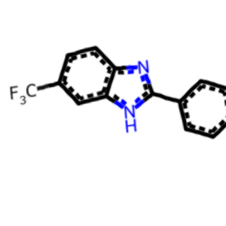 FC(F)(F)c1ccc2nc(-c3ccccc3)[nH]c2c1